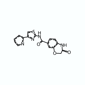 O=C1COc2cc(C(=O)Nc3nc(-c4ccccn4)cs3)ccc2N1